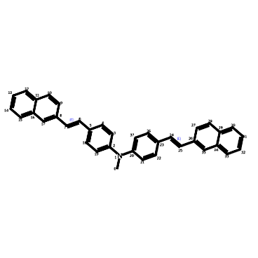 CN(c1ccc(/C=C/c2ccc3ccccc3c2)cc1)c1ccc(/C=C/c2ccc3ccccc3c2)cc1